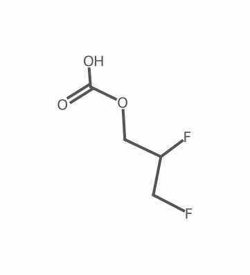 O=C(O)OCC(F)CF